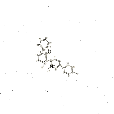 Cc1ccc(-c2ccc(-c3c(C)ccc4c3oc3ccccc34)[n+](C)c2)cc1